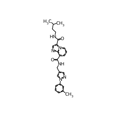 Cc1cccc(-n2cc(CNC(=O)c3cccn4c(C(=O)NCCC(C)C)cnc34)cn2)c1